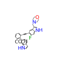 O=C(O)c1cccc(C#Cc2cc3c(CN4CCOCC4)c[nH]c3cc2F)c1-c1ccc2cc[nH]c2c1